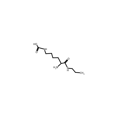 CCCNC(=O)C(N)CCCCNC(=O)O